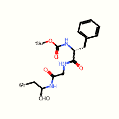 CC(C)CC(C=O)NC(=O)CNC(=O)[C@@H](Cc1ccccc1)NC(=O)OC(C)(C)C